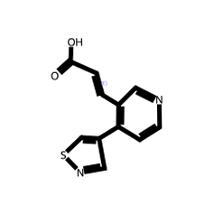 O=C(O)/C=C/c1cnccc1-c1cnsc1